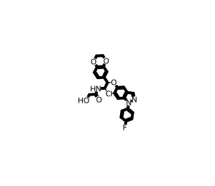 C[C@H](NC(=O)CO)[C@@H](Oc1ccc2c(cnn2-c2ccc(F)cc2)c1)c1ccc2c(c1)OCCO2